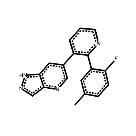 Cc1ccc(F)c(-c2ncccc2-c2cnc3cn[nH]c3c2)c1